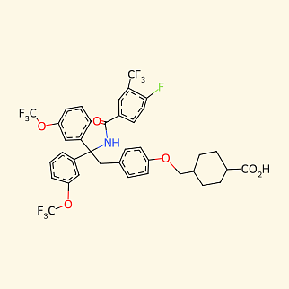 O=C(NC(Cc1ccc(OCC2CCC(C(=O)O)CC2)cc1)(c1cccc(OC(F)(F)F)c1)c1cccc(OC(F)(F)F)c1)c1ccc(F)c(C(F)(F)F)c1